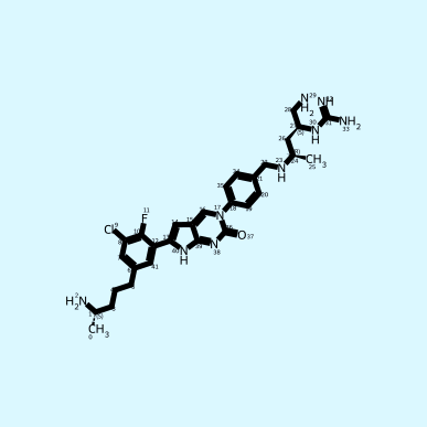 C[C@H](N)CCCc1cc(Cl)c(F)c(-c2cc3cn(-c4ccc(CN[C@H](C)C[C@@H](CN)NC(=N)N)cc4)c(=O)nc3[nH]2)c1